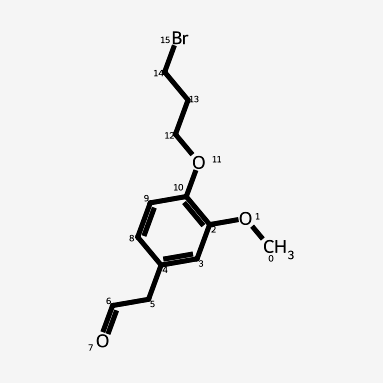 COc1cc(CC=O)ccc1OCCCBr